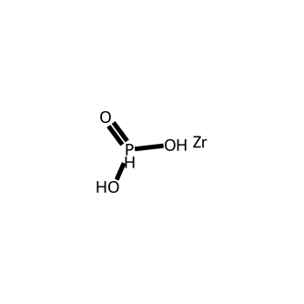 O=[PH](O)O.[Zr]